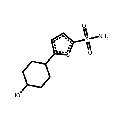 NS(=O)(=O)c1ccc(C2CCC(O)CC2)s1